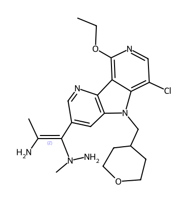 CCOc1ncc(Cl)c2c1c1ncc(/C(=C(\C)N)N(C)N)cc1n2CC1CCOCC1